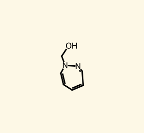 OCN1C=CC=CC=N1